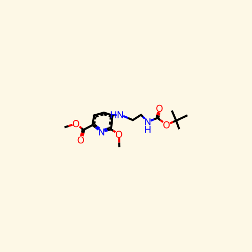 COC(=O)c1ccc(NCCNC(=O)OC(C)(C)C)c(OC)n1